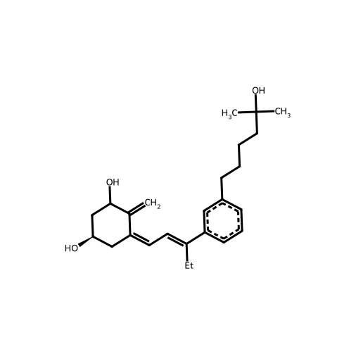 C=C1/C(=C\C=C(/CC)c2cccc(CCCCC(C)(C)O)c2)C[C@@H](O)CC1O